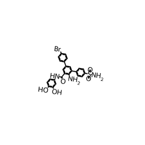 Nc1c(C(=O)Nc2ccc(O)c(O)c2)cc(-c2ccc(Br)cc2)cc1-c1ccc(S(N)(=O)=O)cc1